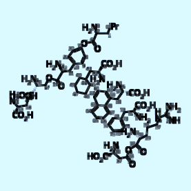 CC(C)C[C@H](N)C(=O)Oc1ccc(C[C@H](N)C(=O)OC[C@@H](N)C(=O)O)cc1.N=C(N)NCCC[C@@H](N)C(=O)OC(=O)C[C@H](N)C(=O)O.N[C@@H](CC1CCCCC1)C(=O)O.N[C@@H](CO)C(=O)O.N[C@@H](Cc1cccc2ccccc12)C(=O)O.N[C@@H](Cc1ccccc1)C(=O)O